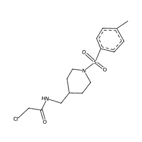 Cc1ccc(S(=O)(=O)N2CCC(CNC(=O)CCl)CC2)cc1